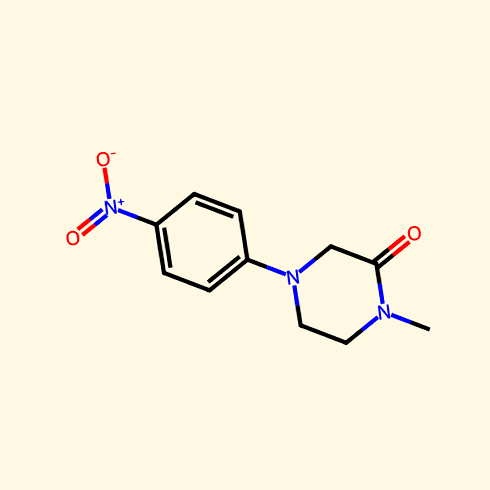 CN1CCN(c2ccc([N+](=O)[O-])cc2)CC1=O